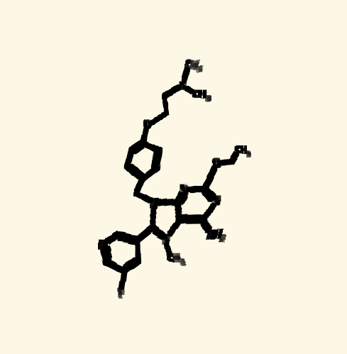 CCOc1nc(N)c2c(n1)N(Cc1ccc(OCCN(C)C)cc1)C(c1cncc(F)c1)N2C